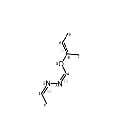 C/C=N\N=C/O/C(C)=C/C